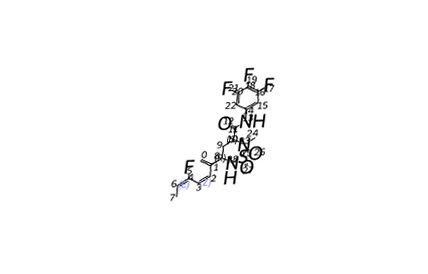 C=C(/C=C\C(F)=C/C)[C@H]1C[C@@H](C(=O)Nc2cc(F)c(F)c(F)c2)N(C)S(=O)(=O)N1